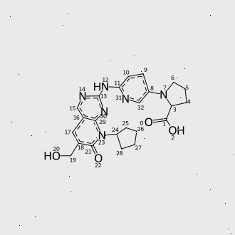 O=C(O)C1CCCN1c1ccc(Nc2ncc3cc(CO)c(=O)n(C4CCCC4)c3n2)nc1